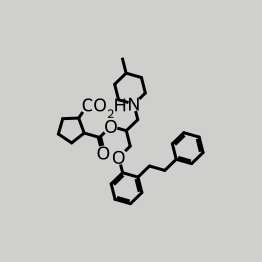 CC1CCN(CC(COc2ccccc2CCc2ccccc2)OC(=O)C2CCCC2C(=O)O)CC1